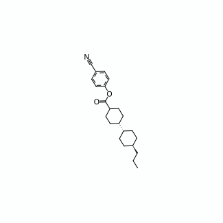 CCC[C@H]1CC[C@H](C2CCC(C(=O)Oc3ccc(C#N)cc3)CC2)CC1